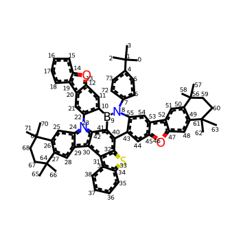 CC(C)(C)c1ccc(N2B3c4cc5oc6ccccc6c5cc4-n4c5cc6c(cc5c5c7c(sc8ccccc87)c(c3c54)-c3cc4oc5cc7c(cc5c4cc32)C(C)(C)CCC7(C)C)C(C)(C)CCC6(C)C)cc1